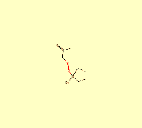 C=C(C)COOC1(CC)CCCC1